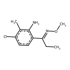 CCC(=NOC)c1ccc(Cl)c(C)c1N